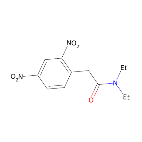 CCN(CC)C(=O)Cc1ccc([N+](=O)[O-])cc1[N+](=O)[O-]